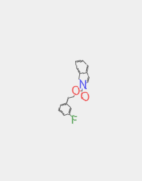 O=C(OCCc1cccc(F)c1)N1C=Cc2ccccc2C1